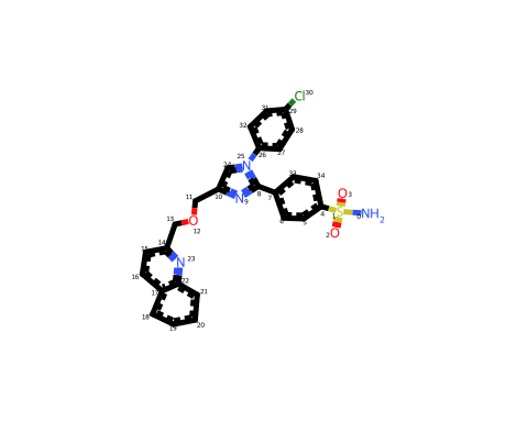 NS(=O)(=O)c1ccc(-c2nc(COCc3ccc4ccccc4n3)cn2-c2ccc(Cl)cc2)cc1